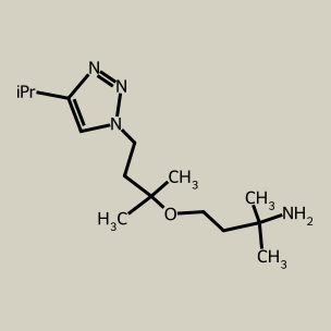 CC(C)c1cn(CCC(C)(C)OCCC(C)(C)N)nn1